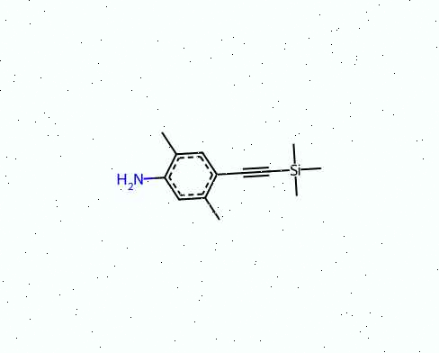 Cc1cc(C#C[Si](C)(C)C)c(C)cc1N